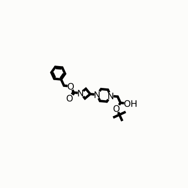 CC(C)(C)OC(O)CN1CCN(C2CN(C(=O)OCc3ccccc3)C2)CC1